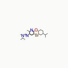 Cc1nc(OC2CCC(C(C)C)CC2)c(Br)cc1/N=C/N(C)C(C)C